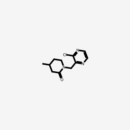 CC1CCN(Cc2nccnc2Cl)C(=O)C1